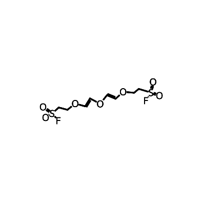 O=S(=O)(F)CCOC=COC=COCCS(=O)(=O)F